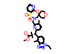 CCn1nnc2c(C)c([C@@H](c3ccc(C)c(CN4CC5(CCOCC5)Oc5ncccc5S4(=O)=O)n3)C(C)(C)C(=O)OC)ccc21